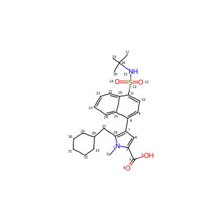 Cn1c(C(=O)O)cc(-c2ccc(S(=O)(=O)NC(C)(C)C)c3ccccc23)c1CC1CCCCC1